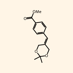 COC(=O)c1ccc(C=C2COC(C)(C)OC2)cc1